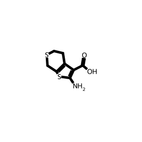 Nc1sc2c(c1C(=O)O)CCSC2